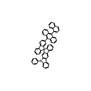 c1ccc(-n2c3ccccc3c3cc4c(cc32)C2(c3ccccc3-c3ccc(-c5c6ccccc6c(-c6cccc7ccccc67)c6ccccc56)cc32)c2ccccc2-4)cc1